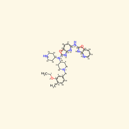 CCOc1cc(CN2CCC(N(c3nc4nc(Nc5nc6ncccc6o5)ccc4o3)C3CCNCC3)CC2)ccc1C